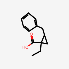 CCC1(C(=O)O)CC1Cc1ccccc1